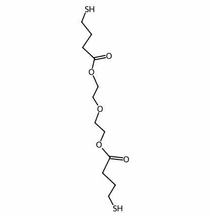 O=C(CCCS)OCCOCCOC(=O)CCCS